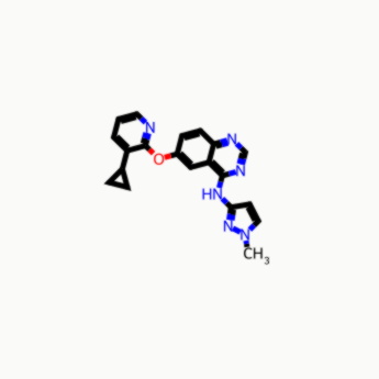 Cn1ccc(Nc2ncnc3ccc(Oc4ncccc4C4CC4)cc23)n1